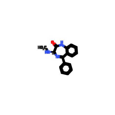 O=C(O)N[C@H]1N=C(c2ccccc2)c2ccccc2NC1=O